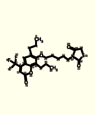 CCCc1cc2c(C(F)(F)F)cc(=O)oc2c(CCC)c1OCCCCCN1C(=O)CSC1=O